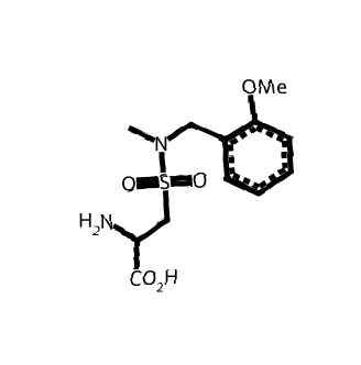 COc1ccccc1CN(C)S(=O)(=O)CC(N)C(=O)O